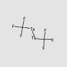 FC(F)(F)[Te][Te]C(F)(F)F